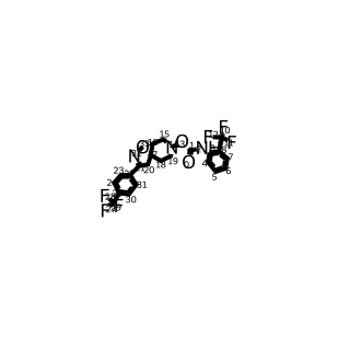 O=C(Nc1ccccc1C(F)(F)F)ON1CCC2(CC1)CC(c1ccc(C(F)(F)F)cc1)=NO2